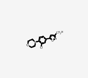 O=C(O)c1cc(-c2ccc(N3CCOCC3)c(Cl)c2)on1